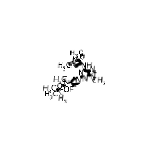 COc1nn(C)cc1Nc1nc(N2C[C@@H](F)[C@H](N(C)C(=O)OC(C)(C)C)C2)nc2c1ncn2C